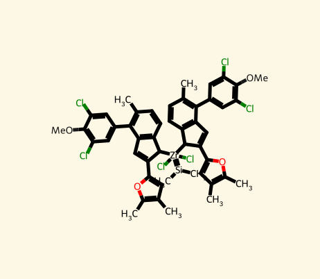 COc1c(Cl)cc(-c2c(C)ccc3c2C=C(c2cc(C)c(C)o2)[CH]3[Zr]([Cl])([Cl])([CH]2C(c3cc(C)c(C)o3)=Cc3c2ccc(C)c3-c2cc(Cl)c(OC)c(Cl)c2)=[Si](C)C)cc1Cl